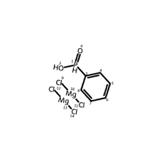 O=[PH](O)c1ccccc1.[Cl][Mg][Cl].[Cl][Mg][Cl]